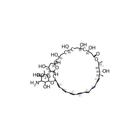 CC1OC(O[C@H]2/C=C/C=C/C=C/C=C/C=C/C=C/C=C/[C@H](C)[C@@H](O)[C@@H](C)[C@H](C)OC(=O)C[C@H](O)C[C@H](O)CC[C@@H](O)CC[C@H](O)C[C@]3(O)C[C@H](O)[C@@H](C(=O)O)[C@H](C2)O3)C(O)C(N)C1O